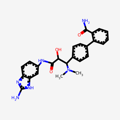 CN(C)C(c1ccc(-c2ccccc2C(N)=O)cc1)C(O)C(=O)Nc1ccc2nc(N)[nH]c2c1